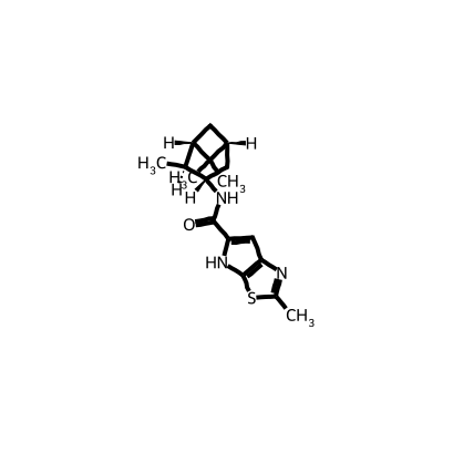 Cc1nc2cc(C(=O)N[C@H]3C[C@H]4C[C@@H]([C@@H]3C)C4(C)C)[nH]c2s1